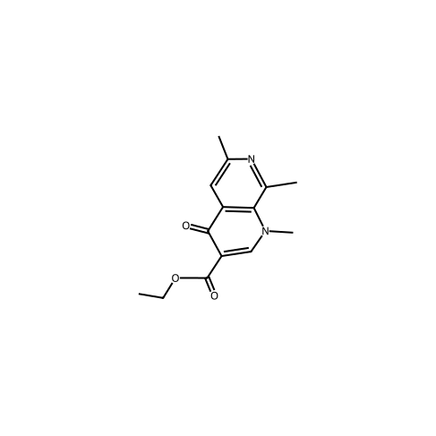 CCOC(=O)c1cn(C)c2c(C)nc(C)cc2c1=O